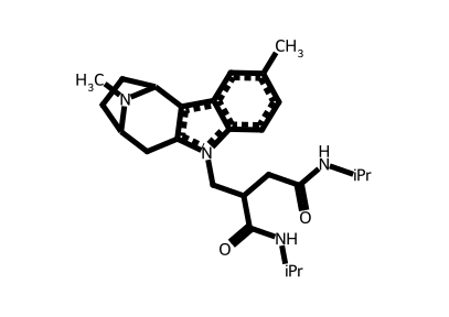 Cc1ccc2c(c1)c1c(n2CC(CC(=O)NC(C)C)C(=O)NC(C)C)CC2CCC1N2C